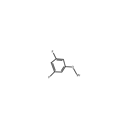 CC(C)Oc1cc(F)[c]c(F)c1